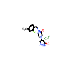 Cc1ccc(CN2CCN(c3cn[nH]c(=O)c3Cl)CC2=O)c(F)c1